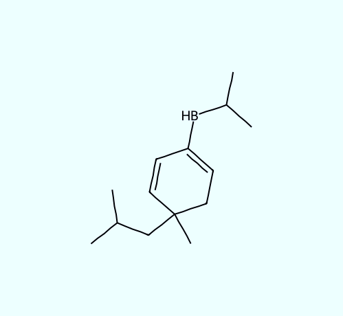 CC(C)BC1=CCC(C)(CC(C)C)C=C1